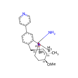 BC1(B)OC(N)=N[C@]12c1cc(-c3ccncc3)ccc1C[C@@]21CC[C@H](OC)[C@@H](C)C1